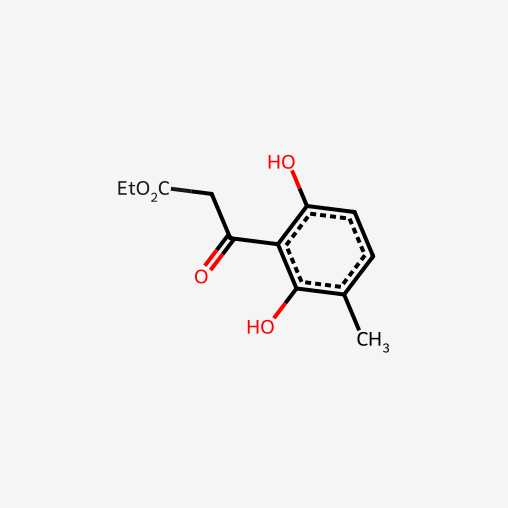 CCOC(=O)CC(=O)c1c(O)ccc(C)c1O